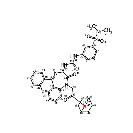 CN(C)S(=O)(=O)c1cccc(NC(=O)NC2N=C(c3ccccc3F)c3ccccc3N(CC(=O)N3CC4CCC(CC4)C3)C2=O)c1